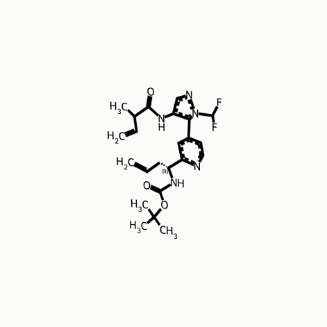 C=CC[C@@H](NC(=O)OC(C)(C)C)c1cc(-c2c(NC(=O)C(C)C=C)cnn2C(F)F)ccn1